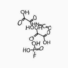 N=C=O.O=C(O)C(=O)O.O=C(O)C(=O)O.O=P(O)(O)F